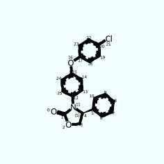 O=C1OC[C@H](c2ccccc2)N1c1ccc(Oc2ccc(Cl)cc2)cc1